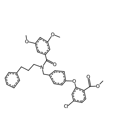 COC(=O)c1ccc(Cl)cc1Oc1ccc(CN(CCCc2ccccc2)C(=O)c2cc(OC)cc(OC)c2)cc1